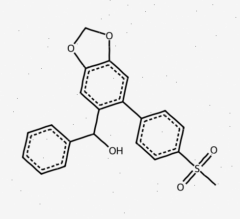 CS(=O)(=O)c1ccc(-c2cc3c(cc2C(O)c2ccccc2)OCO3)cc1